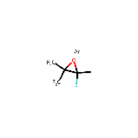 CC1(F)OC1(C(F)(F)F)C(F)(F)F.[Ar]